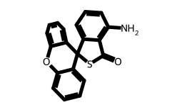 Nc1cccc2c1C(=O)SC21c2ccccc2Oc2ccccc21